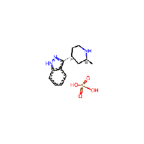 C[C@H]1C[C@H](c2n[nH]c3ccccc23)CCN1.O=S(=O)(O)O